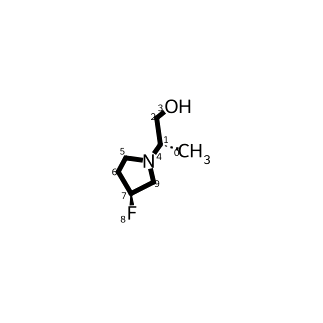 C[C@@H](CO)N1CC[C@H](F)C1